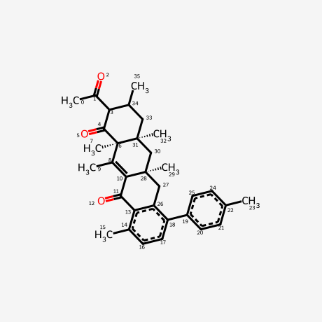 CC(=O)C1C(=O)[C@]2(C)C(C)=C3C(=O)c4c(C)ccc(-c5ccc(C)cc5)c4C[C@]3(C)C[C@]2(C)CC1C